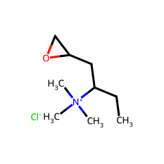 CCC(CC1CO1)[N+](C)(C)C.[Cl-]